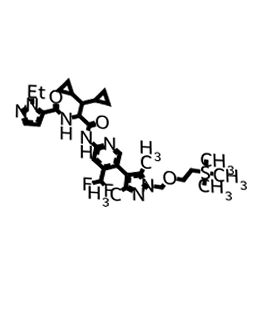 CCn1nccc1C(=O)NC(C(=O)Nc1cc(C(F)F)c(-c2c(C)nn(COCCS(C)(C)C)c2C)cn1)C(C1CC1)C1CC1